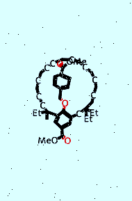 CCC1(CC)CCCCCCCCCCCCCCCCC(C)(CC)c2cc(C(=O)OC)cc(c2OCc2ccc(C(=O)OC)cc2)C1